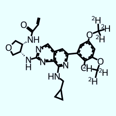 [2H]C([2H])([2H])Oc1cc(OC([2H])([2H])[2H])c(Cl)c(-c2cc3cnc(N[C@@H]4COC[C@@H]4NC(=O)C=C)nc3c(NCC3CC3)n2)c1